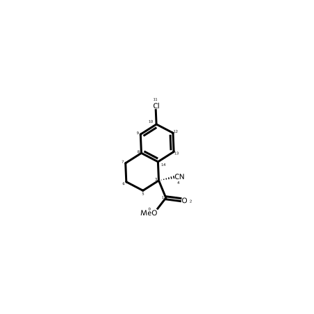 COC(=O)[C@@]1(C#N)CCCc2cc(Cl)ccc21